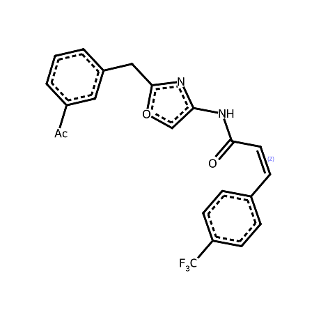 CC(=O)c1cccc(Cc2nc(NC(=O)/C=C\c3ccc(C(F)(F)F)cc3)co2)c1